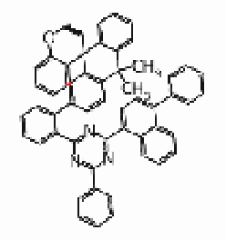 CC1(C)c2ccccc2C2(c3ccccc3Oc3ccccc32)c2cc(-c3ccccc3-c3nc(-c4ccccc4)nc(-c4ccc(-c5ccccc5)c5ccccc45)n3)ccc21